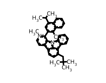 Cc1c(-c2c3c(cc[n+]2C)c2ccc(CC(C)(C)C)c4c5ccccc5n3c24)cc(C(C)C)c2ccccc12